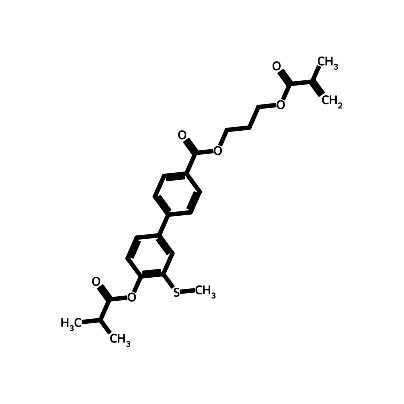 C=C(C)C(=O)OCCCOC(=O)c1ccc(-c2ccc(OC(=O)C(C)C)c(SC)c2)cc1